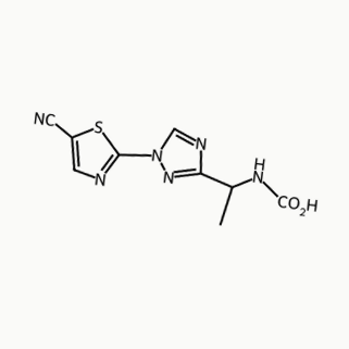 CC(NC(=O)O)c1ncn(-c2ncc(C#N)s2)n1